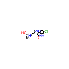 CCN(CCO)CCCC(C)Nc1cc(=O)[nH]c2cc(Cl)ccc12